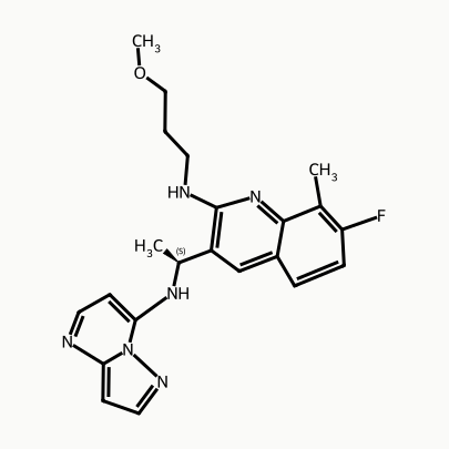 COCCCNc1nc2c(C)c(F)ccc2cc1[C@H](C)Nc1ccnc2ccnn12